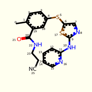 Cc1ccc(Sc2cnc(Nc3ccccn3)s2)cc1C(=O)NCCC#N